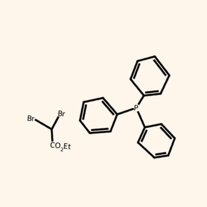 CCOC(=O)C(Br)Br.c1ccc(P(c2ccccc2)c2ccccc2)cc1